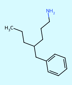 CCCC(CCCN)Cc1ccccc1